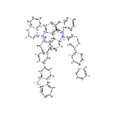 c1ccc(-c2ccc(-c3cccc(N(c4ccccc4-c4ccccc4N(c4ccc5cc(-c6ccc7c(c6)sc6ccccc67)ccc5c4)c4cccc5ccccc45)c4cccc5ccccc45)c3)cc2)cc1